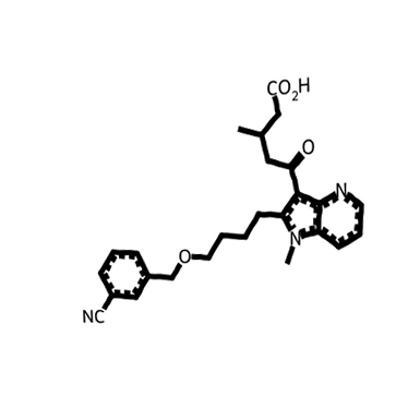 CC(CC(=O)O)CC(=O)c1c(CCCCOCc2cccc(C#N)c2)n(C)c2cccnc12